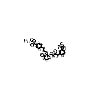 COC(=O)c1ccc(CCCN2C(=O)CCCN2CCC(=O)Cc2cccc(C(F)(F)F)c2)cc1